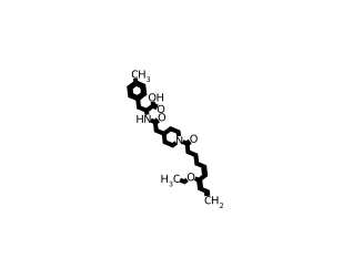 C=C/C=C(\C=C/CCCC(=O)N1CCC(CC(=O)NC(Cc2ccc(C)cc2)C(=O)O)CC1)OCC